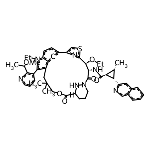 CCO[C@@H]1c2nc(cs2)-c2ccc3c(c2)c(c(-c2cccnc2[C@H](C)OC)n3CC)CC(C)(C)COC(=O)[C@@H]2CCCN(N2)C(=O)[C@H]1NC(=O)[C@H]1[C@H](C)[C@@H]1c1cc2ccccc2cn1